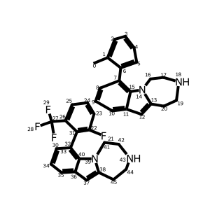 Cc1ccccc1-c1cccc2cc3n(c12)CCNCC3.Fc1cccc(C(F)(F)F)c1-c1cccc2cc3n(c12)CCNCC3